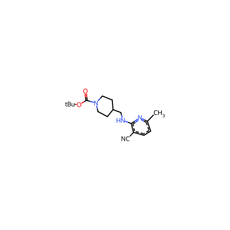 Cc1ccc(C#N)c(NCC2CCN(C(=O)OC(C)(C)C)CC2)n1